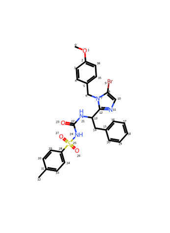 COc1ccc(Cn2c(Br)cnc2C(Cc2ccccc2)NC(=O)NS(=O)(=O)c2ccc(C)cc2)cc1